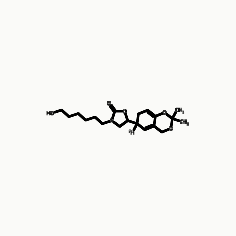 [2H]C1(C2CN(CCCCCCO)C(=O)O2)C=C2COC(C)(C)OC2=CC1